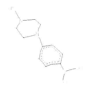 CCCN1CCN(c2ccc(B(O)O)cc2)CC1